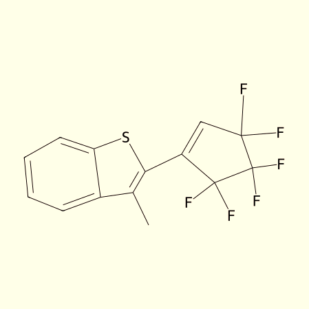 Cc1c(C2=CC(F)(F)C(F)(F)C2(F)F)sc2ccccc12